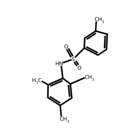 Cc1cccc(S(=O)(=O)Nc2c(C)cc(C)cc2C)c1